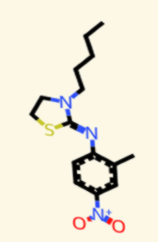 CCCCCN1CCSC1=Nc1ccc([N+](=O)[O-])cc1C